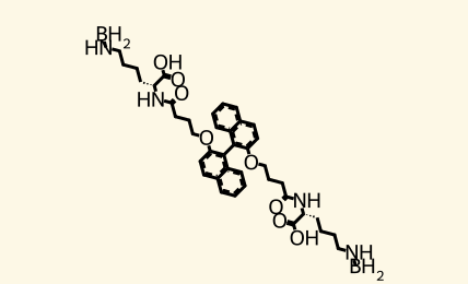 BNCCCC[C@@H](NC(=O)CCCOc1ccc2ccccc2c1-c1c(OCCCC(=O)N[C@H](CCCCNB)C(=O)O)ccc2ccccc12)C(=O)O